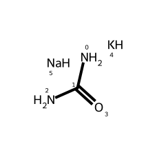 NC(N)=O.[KH].[NaH]